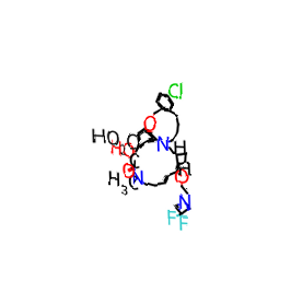 CN1CC/C=C/[C@H](OCCN2CC(F)(F)C2)[C@@H]2CC[C@H]2CN2CCCCc3cc(Cl)ccc3COc3ccc(cc32)[C@@](O)(C(=O)O)CC1=O